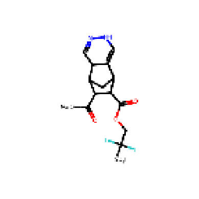 COC(=O)C1C2CC(C3=CNN=CC32)C1C(=O)OCC(F)(F)S(=O)(=O)O